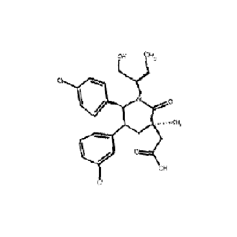 CCC(CO)N1C(=O)[C@@](C)(CC(=O)O)CC(c2cccc(Cl)c2)[C@H]1c1ccc(Cl)cc1